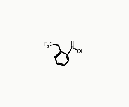 ONc1ccccc1CC(F)(F)F